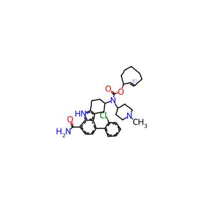 CN1CCC(N(C(=O)OC2/C=C/CCCCC2)C2CCc3[nH]c4c(C(N)=O)ccc(-c5ccccc5Cl)c4c3C2)CC1